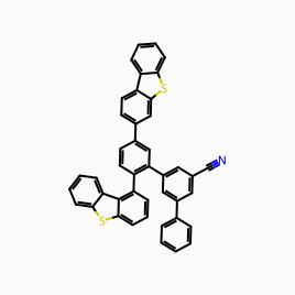 N#Cc1cc(-c2ccccc2)cc(-c2cc(-c3ccc4c(c3)sc3ccccc34)ccc2-c2cccc3sc4ccccc4c23)c1